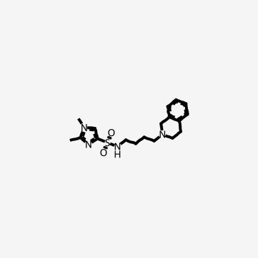 Cc1nc(S(=O)(=O)NCCCCN2CCc3ccccc3C2)cn1C